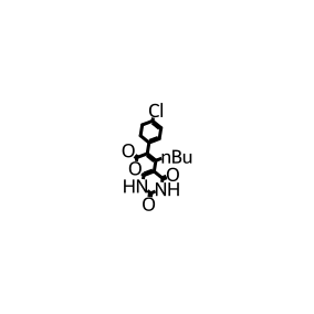 CCCCc1c(C2=CC=C(Cl)CC2)c(=O)oc2[nH]c(=O)[nH]c(=O)c12